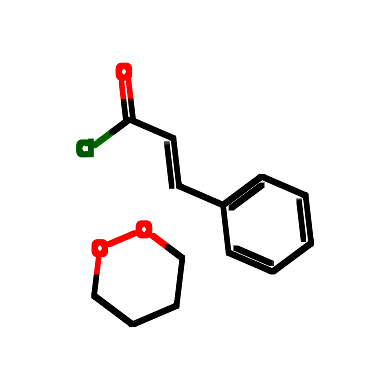 C1CCOOC1.O=C(Cl)/C=C/c1ccccc1